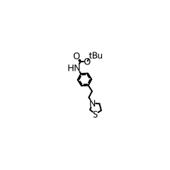 CC(C)(C)OC(=O)Nc1ccc(CCN2CCSC2)cc1